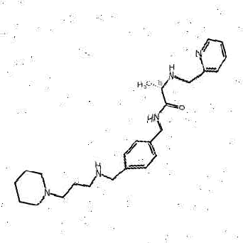 C[C@H](NCc1ccccn1)C(=O)NCc1ccc(CNCCCN2CCCCC2)cc1